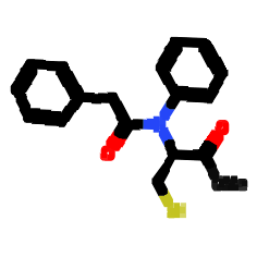 COC(=O)[C@@H](CS)N(C(=O)Cc1ccccc1)c1ccccc1